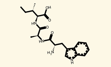 CC[C@H](C)[C@H](NC(=O)[C@H](C)NC(=O)[C@@H](N)Cc1c[nH]c2ccccc12)C(=O)O